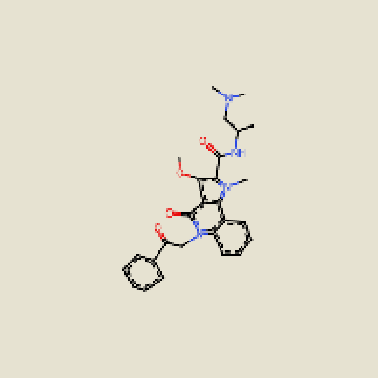 COc1c(C(=O)NC(C)CN(C)C)n(C)c2c1c(=O)n(CC(=O)c1ccccc1)c1ccccc21